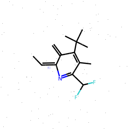 C=c1c(C(C)(C)C)c(C)c(C(F)F)n/c1=C/C